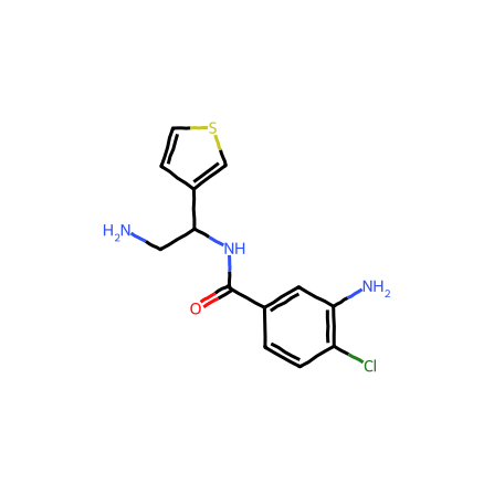 NCC(NC(=O)c1ccc(Cl)c(N)c1)c1ccsc1